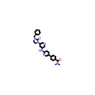 CN(C)C(=O)c1ccc(-c2ccc(Nc3cncc(N4CCN(Cc5ccccc5)C4=O)c3)nc2)cc1